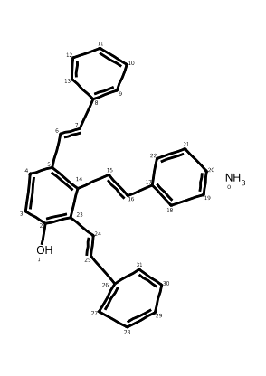 N.Oc1ccc(C=Cc2ccccc2)c(C=Cc2ccccc2)c1C=Cc1ccccc1